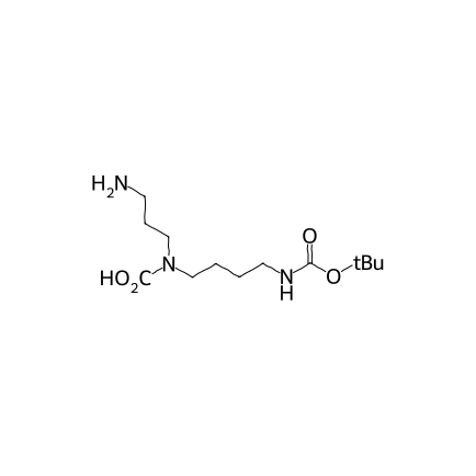 CC(C)(C)OC(=O)NCCCCN(CCCN)C(=O)O